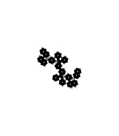 c1ccc(-c2c(-c3ccccc3)n(-c3ccc(N(c4ccc5ccccc5c4)c4cccc5ccccc45)cc3)c3ccc(-c4ccc5c(c4)c(-c4ccccc4)c(-c4ccccc4)n5-c4ccc(N(c5ccc6ccccc6c5)c5cccc6ccccc56)cc4)cc23)cc1